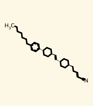 CCCCCCCc1ccc([C@H]2CC[C@H](/C=C/[C@H]3CC[C@H](CCC=CC#N)CC3)CC2)cc1